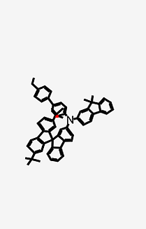 CCc1ccc(-c2ccc(N(c3ccc4c(c3)C(C)(C)c3ccccc3-4)c3ccc4c(c3)C3(c5ccccc5-4)c4cc(C(C)(C)C)ccc4-c4ccc(C(C)(C)C)cc43)cc2)cc1